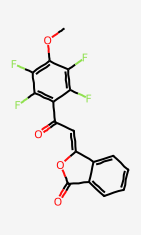 COc1c(F)c(F)c(C(=O)C=C2OC(=O)c3ccccc32)c(F)c1F